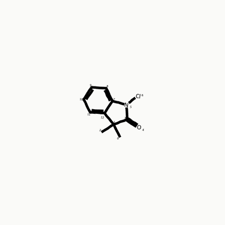 CC1(C)C(=O)N(Cl)c2ccccc21